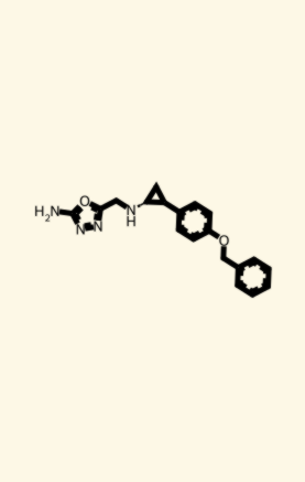 Nc1nnc(CN[C@@H]2CC2c2ccc(OCc3ccccc3)cc2)o1